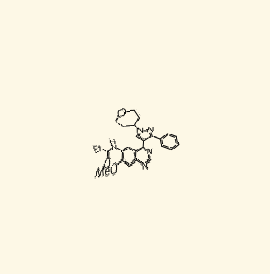 CCC(=O)Nc1cc2c(-c3cn(C4CCOCC4)nc3-c3ccccc3)ncnc2cc1OC